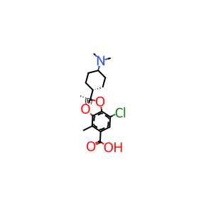 Cc1c(C(=O)O)cc(Cl)c2c1O[C@@](C)([C@H]1CC[C@H](N(C)C)CC1)O2